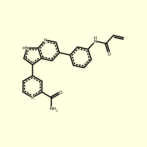 C=CC(=O)Nc1cccc(-c2cnc3[nH]cc(-c4ccnc(C(N)=O)c4)c3c2)c1